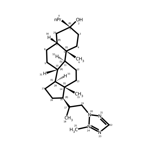 CCC[C@@]1(O)CC[C@@]2(C)[C@H](CC[C@@H]3[C@@H]2CC[C@]2(C)[C@@H](C(C)Cn4ncn[n+]4C)CC[C@@H]32)C1